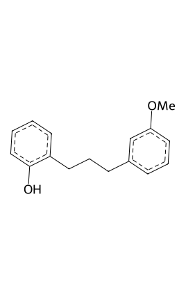 COc1cccc(CCCc2ccccc2O)c1